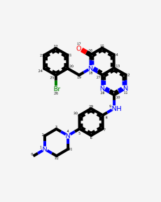 CN1CCN(c2ccc(Nc3ncc4ccc(=O)n(Cc5ccccc5Br)c4n3)cc2)CC1